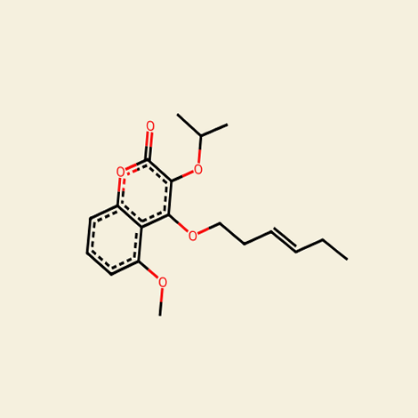 CCC=CCCOc1c(OC(C)C)c(=O)oc2cccc(OC)c12